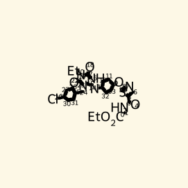 CCOC(=O)CNC(=O)c1cnc(Oc2ccc(/N=c3\[nH]c(=O)n(CC)c(=O)n3Cc3ccc(Cl)cc3)cc2)s1